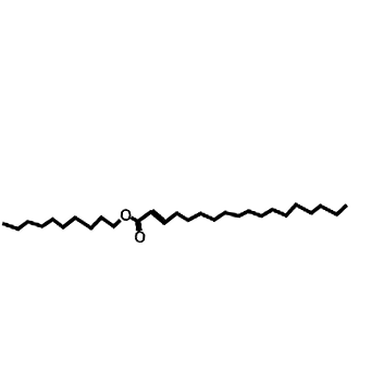 CCCCCCCCCCCCCCCC=CC(=O)OCCCCCCCCCC